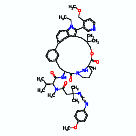 CCn1c(-c2cnccc2COC)c2c3cc(ccc31)-c1cccc(c1)C[C@H](NC(=O)[C@H](C(C)C)N(C)C(=O)CC(C)(C)N=C=Nc1ccc(OC)cc1)C(=O)N1CCC[C@H](N1)C(=O)OCC(C)(C)C2